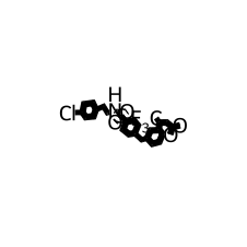 O=c1cc(C(F)(F)F)c2cc(Cc3ccc(S(=O)(=O)NCCc4ccc(Cl)cc4)cc3)ccc2o1